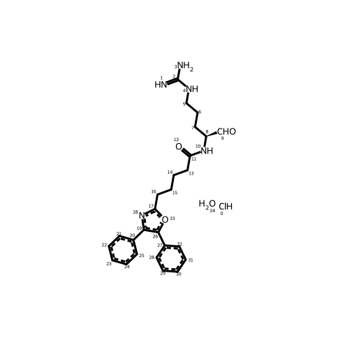 Cl.N=C(N)NCCC[C@@H](C=O)NC(=O)CCCCc1nc(-c2ccccc2)c(-c2ccccc2)o1.O